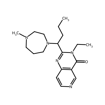 CCCC(c1nc2ccncc2c(=O)n1CC)N1CCCN(C)CC1